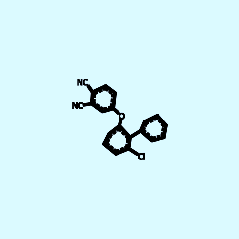 N#Cc1ccc(Oc2cccc(Cl)c2-c2ccccc2)cc1C#N